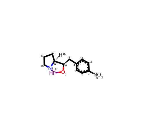 O=[N+]([O-])c1ccc(C[C@H]2OPN3CCC[C@@H]23)cc1